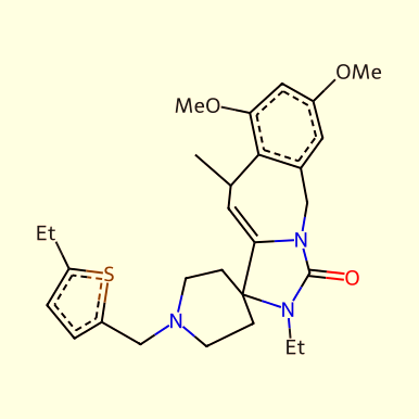 CCc1ccc(CN2CCC3(CC2)C2=CC(C)c4c(cc(OC)cc4OC)CN2C(=O)N3CC)s1